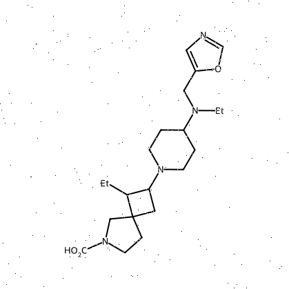 CCC1C(N2CCC(N(CC)Cc3cnco3)CC2)CC12CCN(C(=O)O)C2